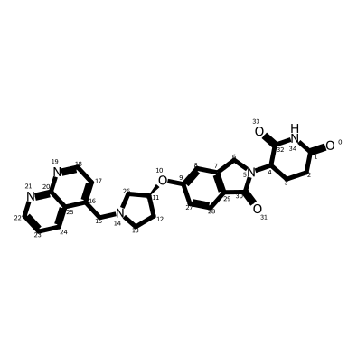 O=C1CCC(N2Cc3cc(O[C@H]4CCN(Cc5ccnc6ncccc56)C4)ccc3C2=O)C(=O)N1